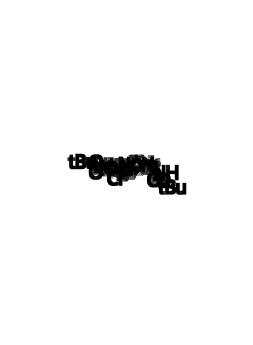 CC(C)(C)OC(=O)N[C@H]1CCN(c2ccc3nc(N4CCN(C(=O)OC(C)(C)C)CC4)c(Cl)cc3c2)C1